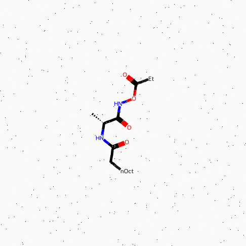 CCCCCCCCCC(=O)N[C@H](C)C(=O)NOC(=O)CC